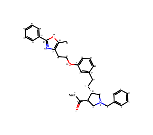 COC(=O)[C@@H]1CN(Cc2ccccc2)C[C@H]1CCc1cccc(OCCc2nc(-c3ccccc3)oc2C)c1